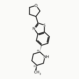 C[C@H]1CC[C@H](c2ccc3sc(C4CCOC4)nc3c2)NC1